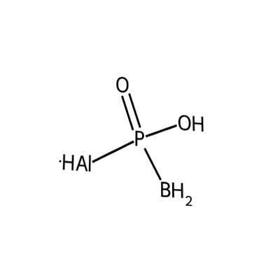 B[P](=O)(O)[AlH]